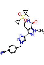 Cn1nc(-c2cn(Cc3ccc(C#N)cc3)nn2)c2c1C(=O)N(CC1(S(=O)(=O)C3CC3)CC1)CC2